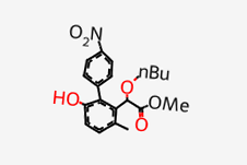 CCCCOC(C(=O)OC)c1c(C)ccc(O)c1-c1ccc([N+](=O)[O-])cc1